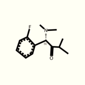 CC(C)C(=O)[C@H](c1ccccc1F)N(C)C